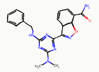 CN(C)c1nc(NCc2ccccc2)nc(C2=NOC3C(C(N)=O)=CC=CC23)n1